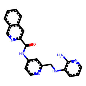 Nc1ncccc1NCc1cc(NC(=O)c2cc3ccccc3cn2)ccn1